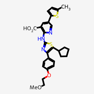 COCCOc1ccc(-c2nc(Nc3ncc(-c4ccc(C)s4)cc3C(=O)O)sc2C2CCCC2)cc1